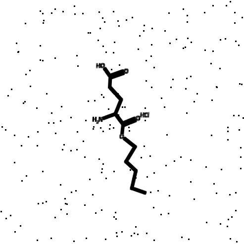 CCCCCOC(=O)C(N)CCC(=O)O.Cl